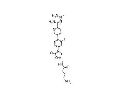 CN(N)/N=C(\N)c1ccc(-c2ccc(N3C[C@H](CNC(=O)CCCN)OC3=O)cc2F)cn1